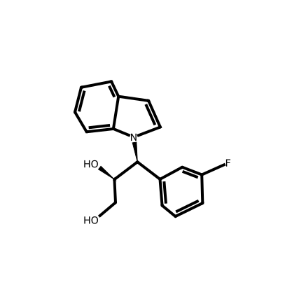 OC[C@@H](O)[C@H](c1cccc(F)c1)n1ccc2ccccc21